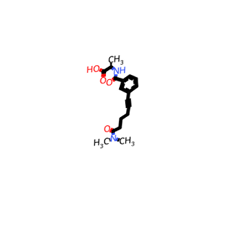 C[C@@H](NC(=O)c1cccc(C#CCCCC(=O)N(C)C)c1)C(=O)O